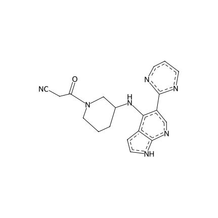 N#CCC(=O)N1CCCC(Nc2c(-c3ncccn3)cnc3[nH]ccc23)C1